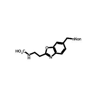 CCCCCCCCCCc1ccc2nc(CCNC(=O)O)oc2c1